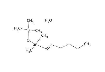 CCCCC=C[Si](C)(C)O[Si](C)(C)C.O